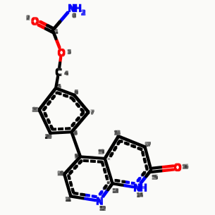 NC(=O)OCc1ccc(-c2ccnc3[nH]c(=O)ccc23)cc1